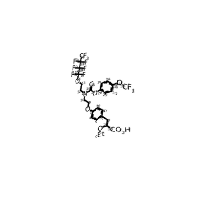 CCOC(Cc1ccc(OCCN(CCOC(F)(F)C(F)(F)C(F)(F)C(F)(F)F)C(=O)Oc2ccc(OC(F)(F)F)cc2)cc1)C(=O)O